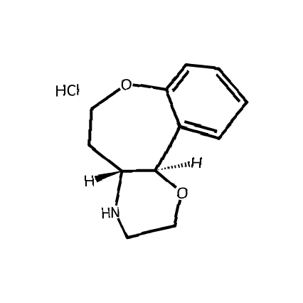 Cl.c1ccc2c(c1)OCC[C@H]1NCCO[C@H]21